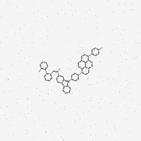 C/C(=C/c1ccccc1-c1ccccc1C)c1ccc2c3ccccc3n(-c3ccc(-c4ccc5ccc6c(-c7ccc(C)cc7)ccc7ccc4c5c76)cc3)c2c1